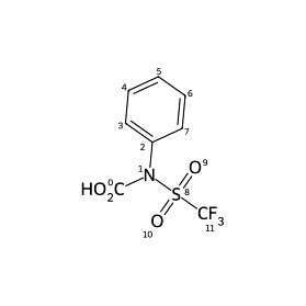 O=C(O)N(c1ccccc1)S(=O)(=O)C(F)(F)F